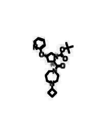 CC(C)(C)OC(=O)N1C[C@H](Oc2ccccn2)C[C@@H]1C(=O)N1CCCN(C2CCC2)CC1